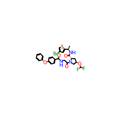 C[C@@H](NC(=O)[C@@H]1C[C@@H](OC(F)F)CN1C(=O)CNC(=O)c1ccc(Oc2ccccc2)cc1)c1cc(Br)cs1